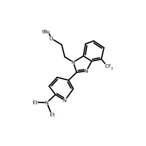 CCN(CC)c1ccc(-c2nc3c(C(F)(F)F)cccc3n2CCOC(C)(C)C)cn1